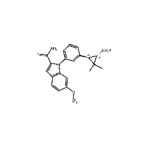 CC1(C)[C@@H](C(=O)O)[C@@H]1c1cccc(-n2c(C(N)=O)cc3ccc(OC(F)(F)F)cc32)c1